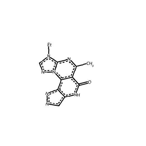 CCn1cnn2c3c(c(C)nc12)c(=O)[nH]c1cnnc13